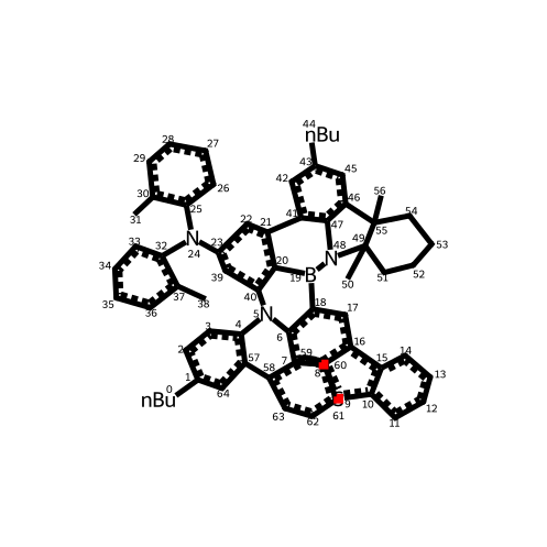 CCCCc1ccc(N2c3cc4sc5ccccc5c4cc3B3c4c(cc(N(c5ccccc5C)c5ccccc5C)cc42)-c2cc(CCCC)cc4c2N3C2(C)CCCCC42C)c(-c2ccccc2)c1